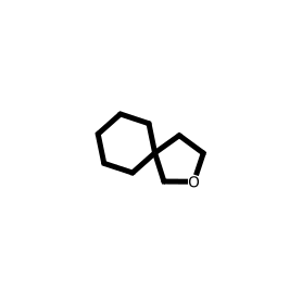 C1CCC2(CC1)CCOC2